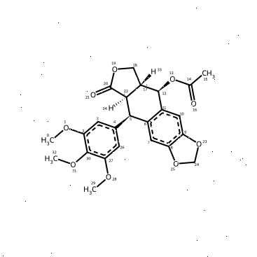 COc1cc([C@@H]2c3cc4c(cc3[C@H](OC(C)=O)[C@H]3COC(=O)[C@H]23)OCO4)cc(OC)c1OC